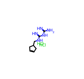 Cl.Cl.N=C(N)NC(=N)NCC1CC=CC1